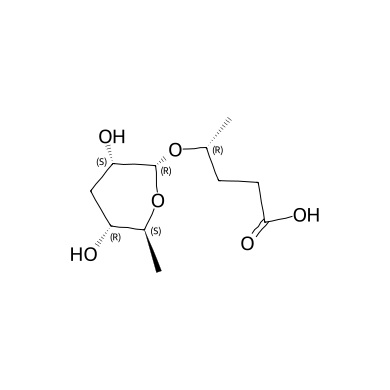 C[C@H](CCC(=O)O)O[C@@H]1O[C@@H](C)[C@H](O)C[C@@H]1O